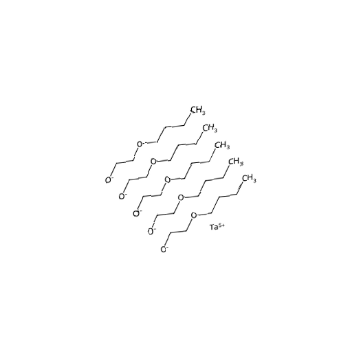 CCCCOCC[O-].CCCCOCC[O-].CCCCOCC[O-].CCCCOCC[O-].CCCCOCC[O-].[Ta+5]